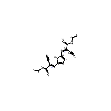 CCOC(=O)/C(C#N)=C/c1ccc(/C=C(\C#N)C(=O)OCC)s1